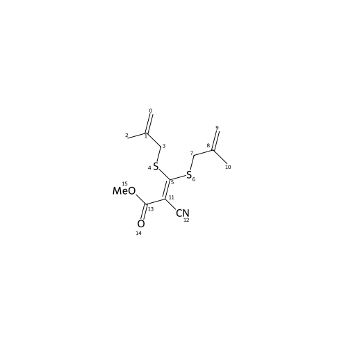 C=C(C)CSC(SCC(=C)C)=C(C#N)C(=O)OC